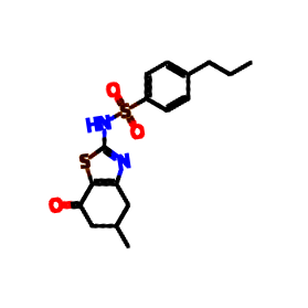 CCCc1ccc(S(=O)(=O)Nc2nc3c(s2)C(=O)CC(C)C3)cc1